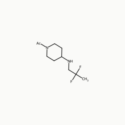 CC(=O)N1CCC(NCC(C)(F)F)CC1